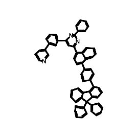 c1ccc(-c2nc(-c3cccc(-c4cccnc4)c3)cc(-c3ccc(-c4ccc(-c5cccc6c5-c5ccccc5C6(c5ccccc5)c5ccccc5)cc4)c4ccccc34)n2)cc1